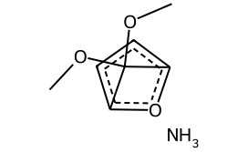 COC1(OC)c2ccc1o2.N